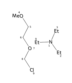 CCN(CC)CC.COCCOCCl